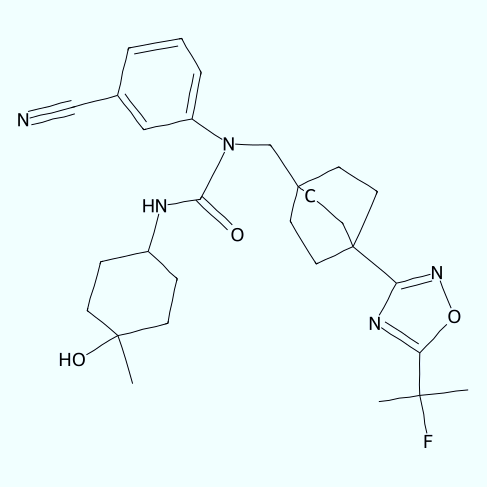 CC1(O)CCC(NC(=O)N(CC23CCC(c4noc(C(C)(C)F)n4)(CC2)CC3)c2cccc(C#N)c2)CC1